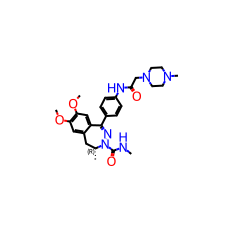 CNC(=O)N1N=C(c2ccc(NC(=O)CN3CCN(C)CC3)cc2)c2cc(OC)c(OC)cc2C[C@H]1C